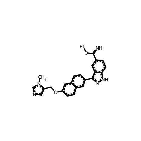 CCOC(=N)c1ccc2[nH]nc(-c3ccc4cc(OCc5cncn5C)ccc4c3)c2c1